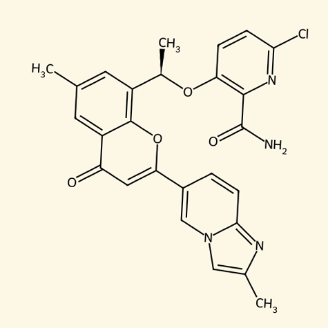 Cc1cc([C@@H](C)Oc2ccc(Cl)nc2C(N)=O)c2oc(-c3ccc4nc(C)cn4c3)cc(=O)c2c1